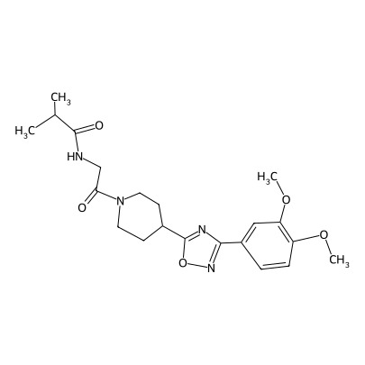 COc1ccc(-c2noc(C3CCN(C(=O)CNC(=O)C(C)C)CC3)n2)cc1OC